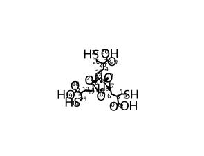 O=C(O)C(CS)CCn1c(=O)n(CCC(CS)C(=O)O)c(=O)n(CCC(CS)C(=O)O)c1=O